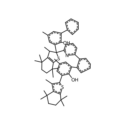 Cc1cc(-c2ccccc2-c2cccc(C3(c4cc(C)cc(-c5ccccc5)c4O)SC4=C(C3C)C(C)(C)CCC4(C)C)n2)c(O)c(-c2sc3c(c2C)C(C)(C)CCC3(C)C)c1